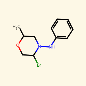 CC1CN(Nc2ccccc2)C(Br)CO1